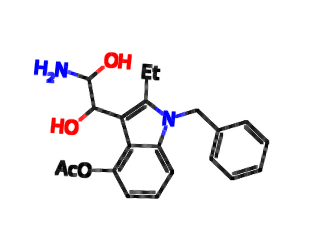 CCc1c(C(O)C(N)O)c2c(OC(C)=O)cccc2n1Cc1ccccc1